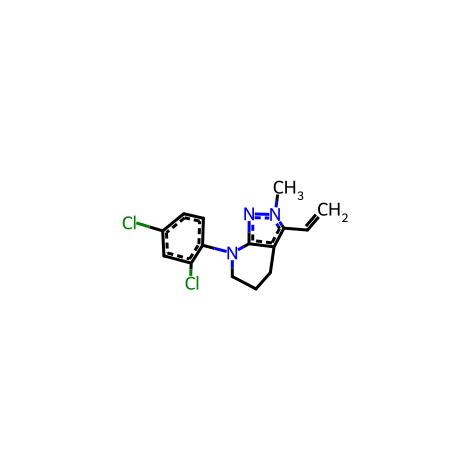 C=Cc1c2c(nn1C)N(c1ccc(Cl)cc1Cl)CCC2